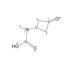 CN(C(=O)O)C1CC(=O)C1